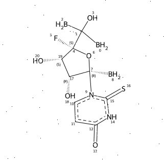 BC(B)(O)[C@@]1(F)O[C@@](B)(n2ccc(=O)[nH]c2=S)[C@H](O)[C@@H]1O